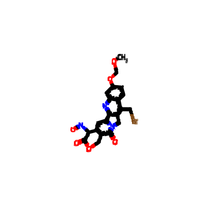 COCOc1ccc2c(CBr)c3c(nc2c1)-c1cc2c(c(=O)n1C3)COC(=O)C2N=O